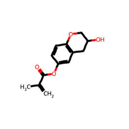 C=C(C)C(=O)Oc1ccc2c(c1)CC(O)CO2